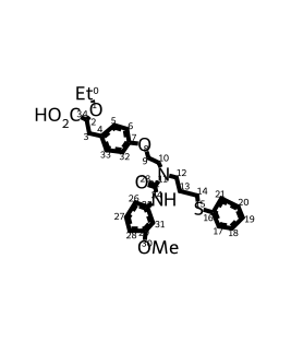 CCOC(Cc1ccc(OCCN(CCCSc2ccccc2)C(=O)Nc2cccc(OC)c2)cc1)C(=O)O